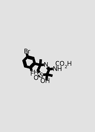 CC1(c2cc(Br)ccc2F)CS(O)(O)C(C)(C)C(NC(=O)O)=N1